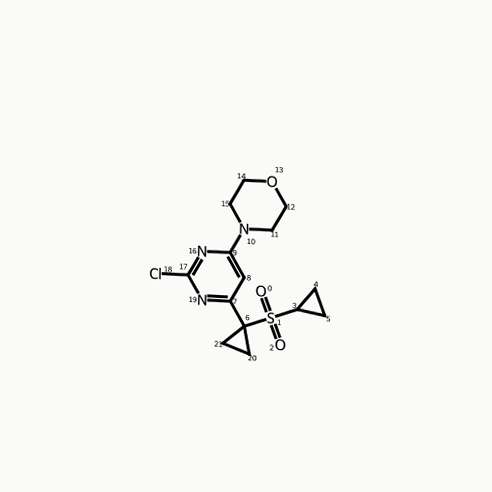 O=S(=O)(C1CC1)C1(c2cc(N3CCOCC3)nc(Cl)n2)CC1